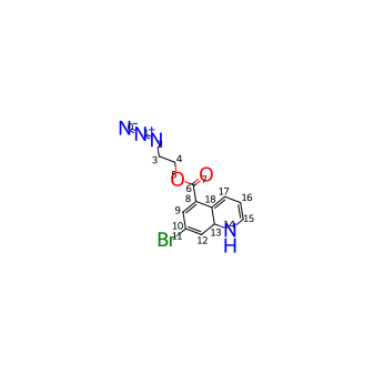 [N-]=[N+]=NCCOC(=O)C1=CC(Br)=CC2NC=CC=C12